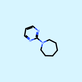 c1cnc(N2CCCCCC2)nc1